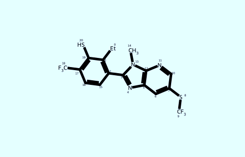 CCc1c(-c2nc3cc(SC(F)(F)F)cnc3n2C)ccc(C(F)(F)F)c1S